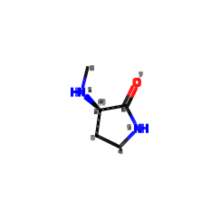 CN[C@@H]1CCNC1=O